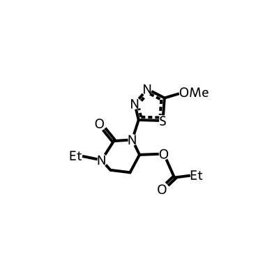 CCC(=O)OC1CCN(CC)C(=O)N1c1nnc(OC)s1